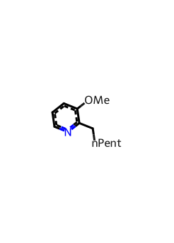 CCCCCCc1ncccc1OC